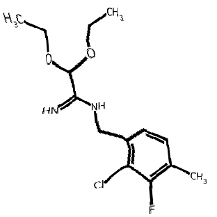 CCOC(OCC)C(=N)NCc1ccc(C)c(F)c1Cl